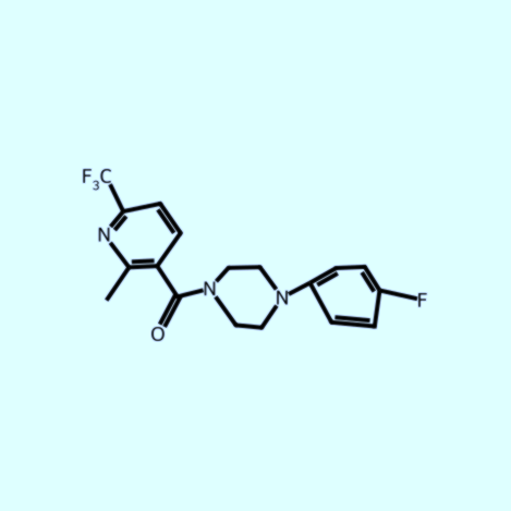 Cc1nc(C(F)(F)F)ccc1C(=O)N1CCN(c2ccc(F)cc2)CC1